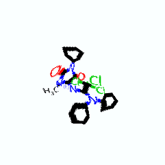 CN1C(=O)N(c2ccccc2)C(=O)/C1=N\C(N(c1ccccc1)c1ccccc1)C(Cl)(Cl)Cl